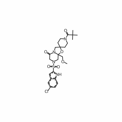 COCC12CN(S(=O)(=O)c3cc4cc(Cl)ccc4[nH]3)CC(=O)N1CC1(CCN(C(=O)C(C)(C)C)CC1)O2